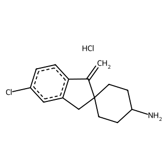 C=C1c2ccc(Cl)cc2CC12CCC(N)CC2.Cl